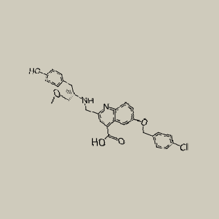 COC[C@H](Cc1ccc(O)cc1)NCc1cc(C(=O)O)c2cc(OCc3ccc(Cl)cc3)ccc2n1